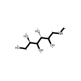 CNCC(O)[C@@H](O)C(O)[C@H](O)CO